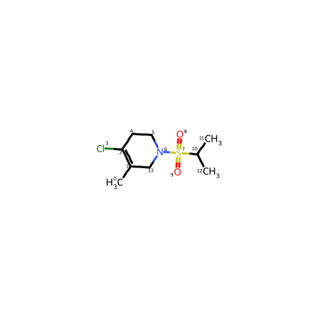 CC1=C(Cl)CCN(S(=O)(=O)C(C)C)C1